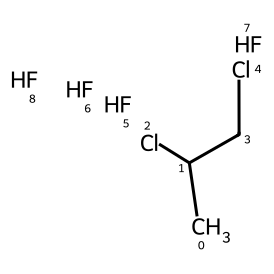 CC(Cl)CCl.F.F.F.F